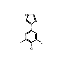 Fc1cc(-c2c[nH]nn2)cc(Cl)c1Cl